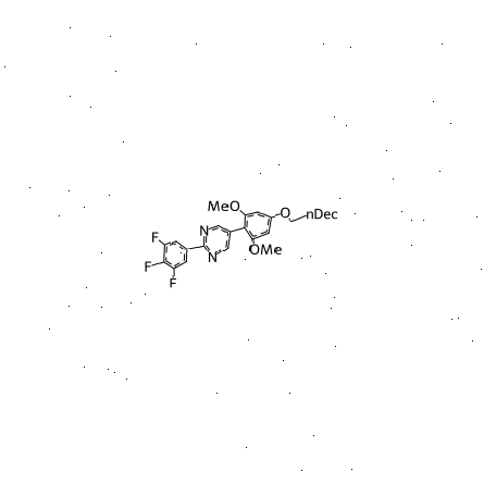 CCCCCCCCCCCOc1cc(OC)c(-c2cnc(-c3cc(F)c(F)c(F)c3)nc2)c(OC)c1